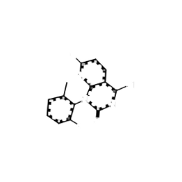 O=c1nc(Cl)c2ccc(C(F)(F)F)nc2n1-c1c(F)cccc1Cl